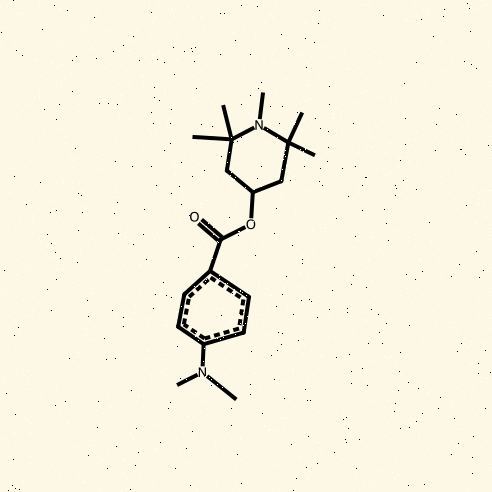 CN(C)c1ccc(C(=O)OC2CC(C)(C)N(C)C(C)(C)C2)cc1